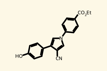 CCOC(=O)c1ccc(-n2cc(C#N)c(-c3ccc(O)cc3)c2)cc1